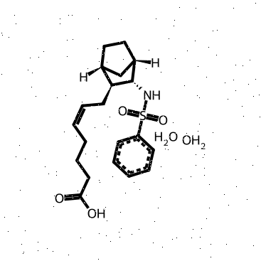 O.O.O=C(O)CCC/C=C\C[C@H]1[C@@H]2CC[C@@H](C2)[C@@H]1NS(=O)(=O)c1ccccc1